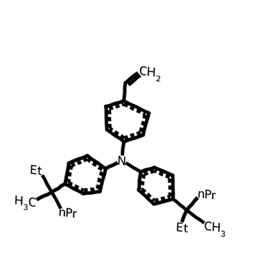 C=Cc1ccc(N(c2ccc(C(C)(CC)CCC)cc2)c2ccc(C(C)(CC)CCC)cc2)cc1